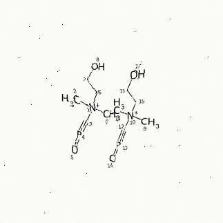 C[N+](C)(C#P=O)CCO.C[N+](C)(C#P=O)CCO